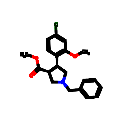 COC(=O)[C@@H]1CN(Cc2ccccc2)C[C@H]1c1ccc(Cl)cc1OC